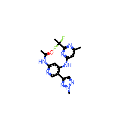 CC(=O)Nc1cc(Nc2cc(C)nc(C(C)(F)F)n2)c(-c2cnn(C)n2)cn1